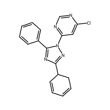 Clc1cc(-n2nc(C3C=CC=CC3)nc2-c2ccccc2)ncn1